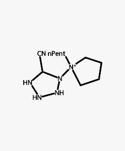 CCCCC[N+]1(N2NNNC2C#N)CCCC1